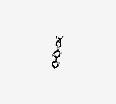 FC1(F)C2CN(c3cnc(-c4ccccn4)cn3)CC21